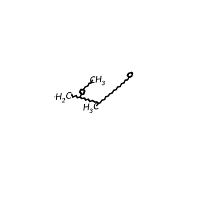 [CH2]CCCCC(CCCCCCCCC(C)CCCCCCCCCCCCCCCc1ccccc1)c1ccc(CCCCC)cc1